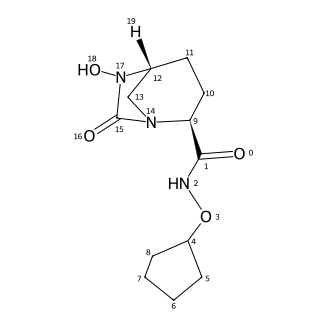 O=C(NOC1CCCC1)[C@@H]1CC[C@@H]2CN1C(=O)N2O